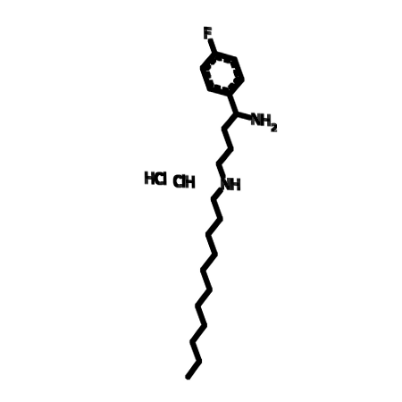 CCCCCCCCCCCNCCCC(N)c1ccc(F)cc1.Cl.Cl